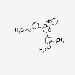 C=CCOc1cccc(C(CCc2ccc(OC)c(OC)c2)OC(=O)[C@H]2CCCCN2)c1